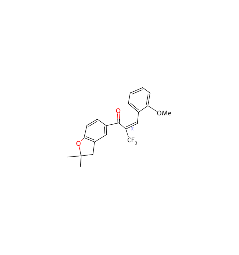 COc1ccccc1/C=C(\C(=O)c1ccc2c(c1)CC(C)(C)O2)C(F)(F)F